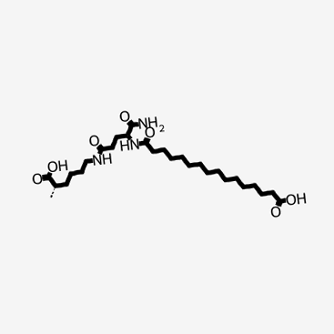 C[C@@H](CCCCNC(=O)CCC(NC(=O)CCCCCCCCCCCCCCC(=O)O)C(N)=O)C(=O)O